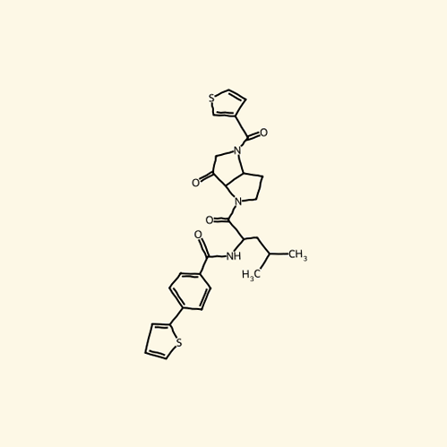 CC(C)CC(NC(=O)c1ccc(-c2cccs2)cc1)C(=O)N1CCC2C1C(=O)CN2C(=O)c1ccsc1